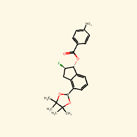 CC1(C)OB(c2cccc3c2C[C@@H](F)[C@@H]3OC(=O)c2ccc([N+](=O)[O-])cc2)OC1(C)C